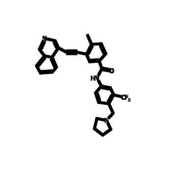 Cc1ccc(C(=O)Nc2ccc(CN3CCCC3)c(C(F)(F)F)c2)cc1C#Cc1cncc2ccccc12